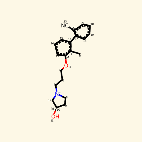 Cc1c(OCCCN2CC[C@@H](O)C2)cccc1-c1ccccc1C#N